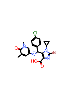 Cc1cc(NC(c2ccc(Cl)cc2)c2c(C(=O)O)nc(Br)n2C2CC2)cn(C)c1=O